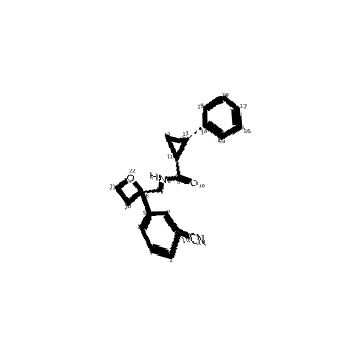 N#Cc1cccc([C@]2(CNC(=O)[C@H]3C[C@@H]3c3ccccc3)CCO2)c1